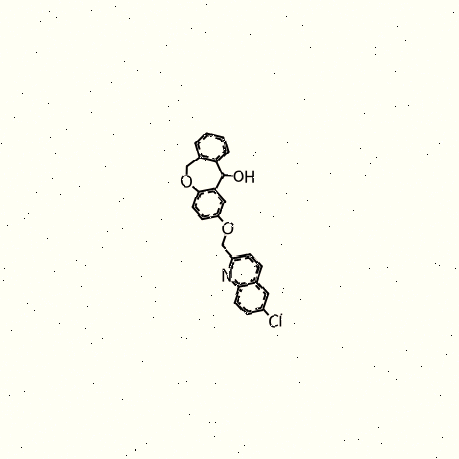 OC1c2ccccc2COc2ccc(OCc3ccc4cc(Cl)ccc4n3)cc21